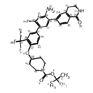 CC(C)(C)OC(=O)N1CCC(Oc2ccc(-c3cc(-c4ccc5c(c4)CCNC5=O)c(N)nc3F)cc2C(F)(F)F)CC1